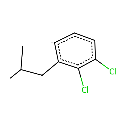 CC(C)Cc1[c]ccc(Cl)c1Cl